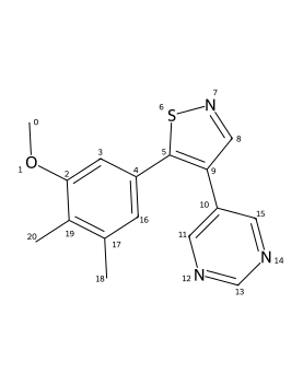 COc1cc(-c2sncc2-c2cncnc2)cc(C)c1C